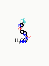 C[C@@H]1CN(C(=O)c2ccc3cc(Oc4ccc(C(F)(F)F)cn4)ccc3n2)CCN1